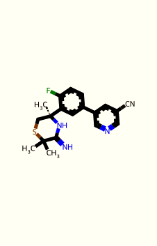 CC1(C)SC[C@@](C)(c2cc(-c3cncc(C#N)c3)ccc2F)NC1=N